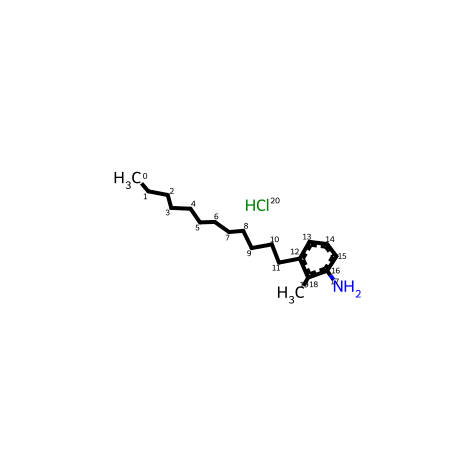 CCCCCCCCCCCCc1cccc(N)c1C.Cl